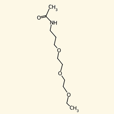 CCOCCOCCOCCCNC(C)=O